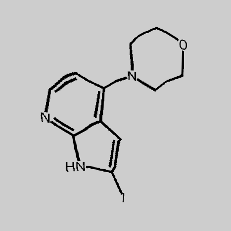 Ic1cc2c(N3CCOCC3)ccnc2[nH]1